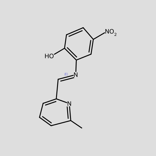 Cc1cccc(/C=N/c2cc([N+](=O)[O-])ccc2O)n1